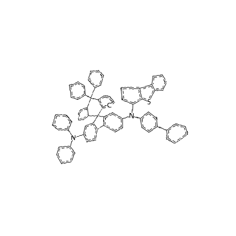 c1ccc(-c2ccc(N(c3ccc4c(c3)C3(c5cc(N(c6ccccc6)c6ccccc6)ccc5-4)c4ccccc4C(c4ccccc4)(c4ccccc4)c4ccccc43)c3cccc4c3sc3ccccc34)cc2)cc1